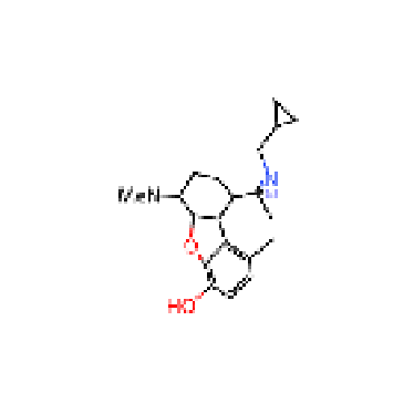 CNC1CCC(/C(C)=N\CC2CC2)C2c3c(C)ccc(O)c3OC12